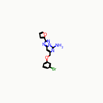 Nc1nc(COc2cccc(Br)c2)cc2nc(-c3ccco3)nn12